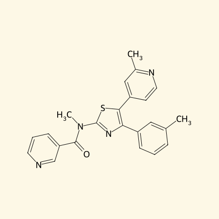 Cc1cccc(-c2nc(N(C)C(=O)c3cccnc3)sc2-c2ccnc(C)c2)c1